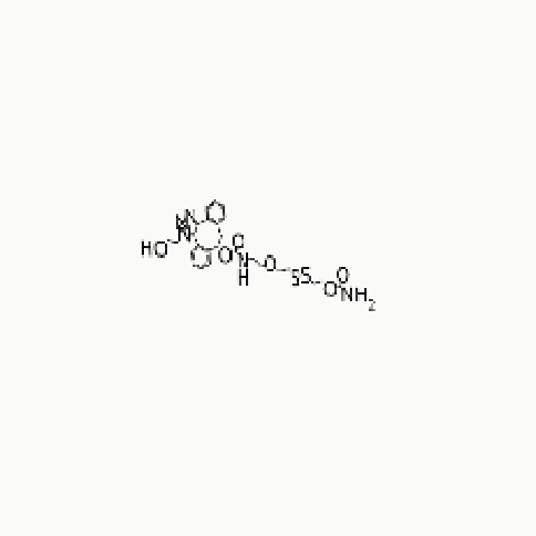 NC(=O)OCCSSCCOCCNC(=O)OC1Cc2ccccc2-c2nnn(CCO)c2-c2ccccc21